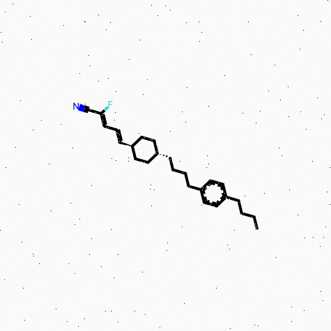 CCCCc1ccc(CCCC[C@H]2CC[C@H](C=CC=C(F)C#N)CC2)cc1